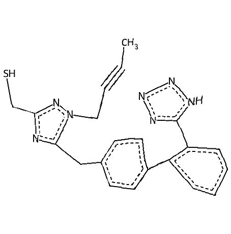 CC#CCn1nc(CS)nc1Cc1ccc(-c2ccccc2-c2nnn[nH]2)cc1